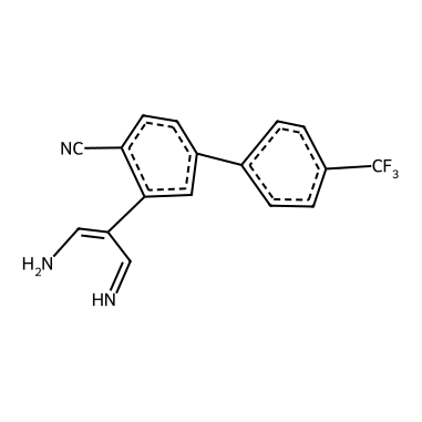 N#Cc1ccc(-c2ccc(C(F)(F)F)cc2)cc1/C(C=N)=C/N